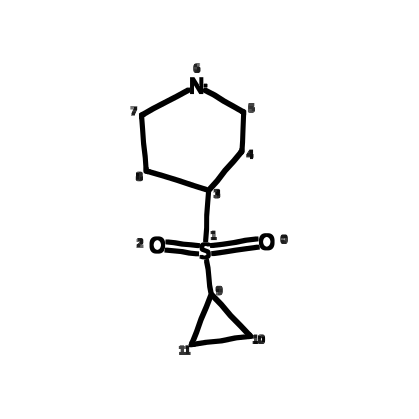 O=S(=O)(C1CC[N]CC1)C1CC1